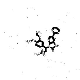 CCOc1cc(C(CS(C)(=O)=O)n2c(=O)[nH]c3cc(-c4ncccn4)cnc32)ccc1OC